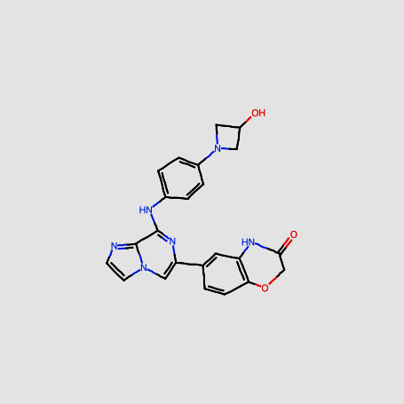 O=C1COc2ccc(-c3cn4ccnc4c(Nc4ccc(N5CC(O)C5)cc4)n3)cc2N1